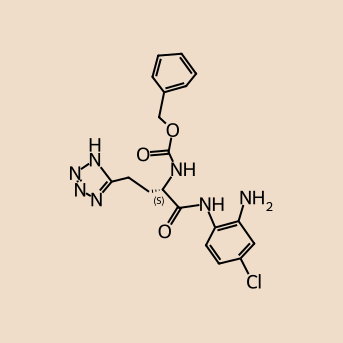 Nc1cc(Cl)ccc1NC(=O)[C@H](CCc1nnn[nH]1)NC(=O)OCc1ccccc1